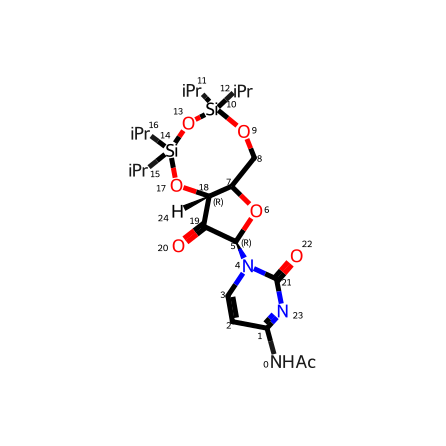 CC(=O)Nc1ccn([C@@H]2OC3CO[Si](C(C)C)(C(C)C)O[Si](C(C)C)(C(C)C)O[C@H]3C2=O)c(=O)n1